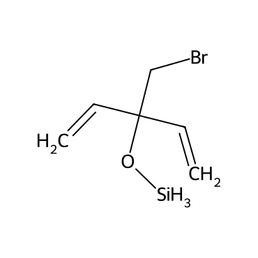 C=CC(C=C)(CBr)O[SiH3]